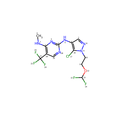 CNc1nc(Nc2cnn(CCOC(F)F)c2Cl)ncc1C(F)(F)F